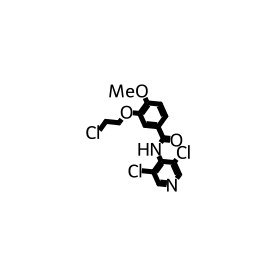 COc1ccc(C(=O)Nc2c(Cl)cncc2Cl)cc1OCCCl